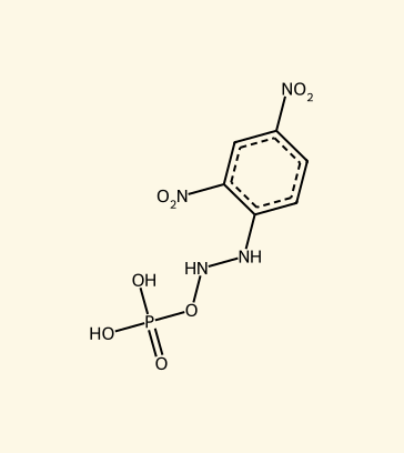 O=[N+]([O-])c1ccc(NNOP(=O)(O)O)c([N+](=O)[O-])c1